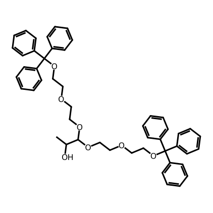 CC(O)C(OCCOCCOC(c1ccccc1)(c1ccccc1)c1ccccc1)OCCOCCOC(c1ccccc1)(c1ccccc1)c1ccccc1